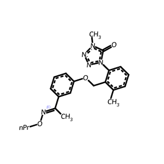 CCCO/N=C(\C)c1cccc(OCc2c(C)cccc2-n2nnn(C)c2=O)c1